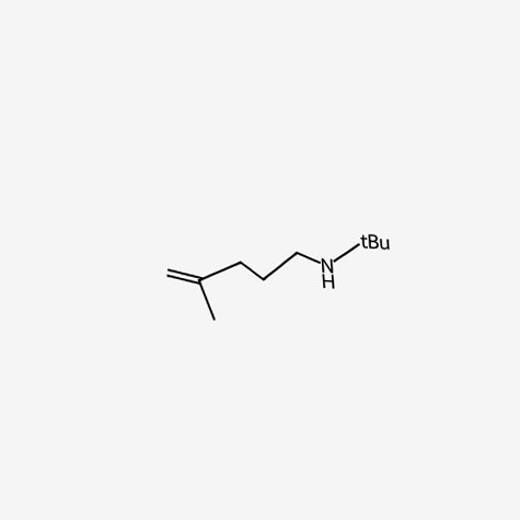 C=C(C)CCCNC(C)(C)C